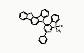 C[Si]1(C)c2ccccc2-c2c(-n3c4ccccc4c4c5sc6ccccc6c5ccc43)nc(-c3ccccc3)nc21